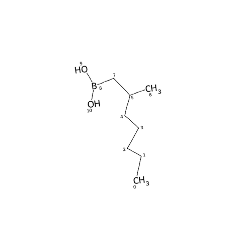 CCCCCC(C)CB(O)O